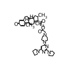 CC1C[C@H]2[C@@H]3CCC4=CC(=O)C=C[C@]4(C)C3=CC[C@]2(C)[C@H]1C(=O)COC(=O)CN1CCN(c2cc(N3CCCC3)nc(N3CCCC3)n2)CC1